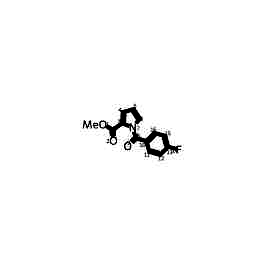 COC(=O)c1cccn1C(=O)c1ccc(F)cc1